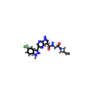 Cn1nc(-c2cnc3[nH]cc(C(=O)NCC(=O)N4CC(C#N)C4)c3n2)c2cc(Cl)ccc21